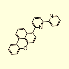 c1ccc(-c2cccc(-c3ccc4c5c(cccc35)-c3ccccc3O4)n2)nc1